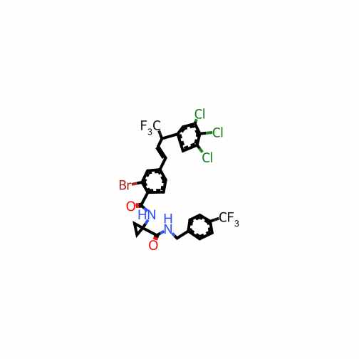 O=C(NC1(C(=O)NCc2ccc(C(F)(F)F)cc2)CC1)c1ccc(/C=C/C(c2cc(Cl)c(Cl)c(Cl)c2)C(F)(F)F)cc1Br